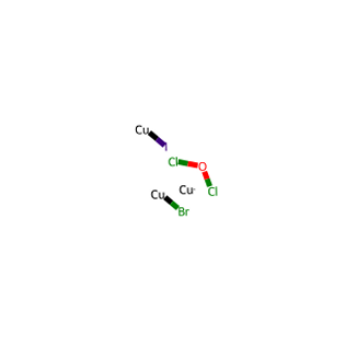 ClOCl.[Cu].[Cu][Br].[Cu][I]